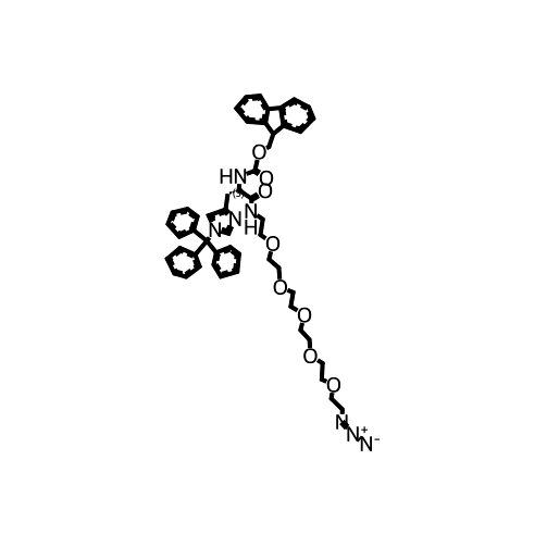 [N-]=[N+]=NCCOCCOCCOCCOCCOCCNC(=O)[C@H](Cc1cn(C(c2ccccc2)(c2ccccc2)c2ccccc2)cn1)NC(=O)OCC1c2ccccc2-c2ccccc21